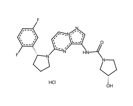 Cl.O=C(Nc1cnn2ccc(N3CCC[C@@H]3c3cc(F)ccc3F)nc12)N1CC[C@H](O)C1